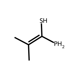 CC(C)=C(P)S